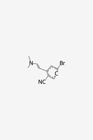 CN(C)/C=C/c1cc(Br)ccc1C#N